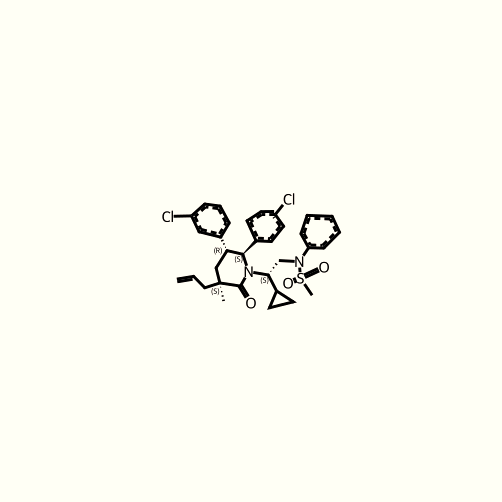 C=CC[C@@]1(C)C[C@H](c2cccc(Cl)c2)[C@@H](c2ccc(Cl)cc2)N([C@H](CN(c2ccccc2)S(C)(=O)=O)C2CC2)C1=O